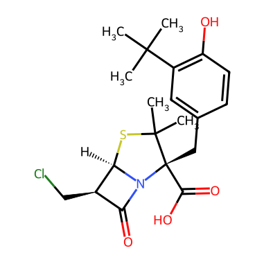 CC(C)(C)c1cc(C[C@@]2(C(=O)O)N3C(=O)[C@@H](CCl)[C@H]3SC2(C)C)ccc1O